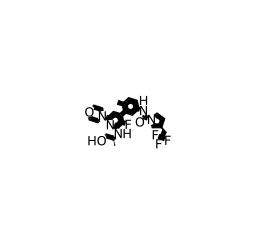 Cc1ccc(NC(=O)N2CC[C@@H](CC(F)(F)F)C2)cc1-c1cc(N2CCOCC2)nc(N[C@H](C)CO)c1F